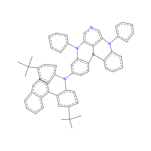 CC(C)(C)c1ccc(N(c2ccc3c(c2)N(c2ccccc2)c2cncc4c2B3c2ccccc2N4c2ccccc2)c2ccc(C(C)(C)C)cc2-c2cccc3ccccc23)cc1